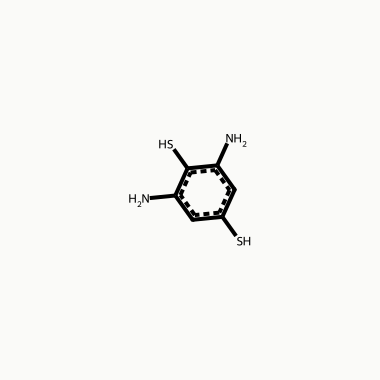 Nc1cc(S)cc(N)c1S